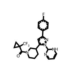 O=C(N1CCCC(c2cc(-c3ccc(F)cc3)nn2C2N=CC=CN2)C1)C1(C(F)(F)F)CC1